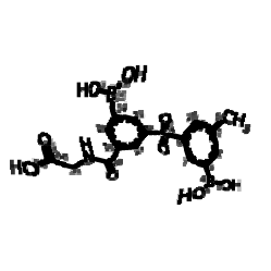 Cc1cc(B(O)O)cc(S(=O)(=O)c2cc(B(O)O)cc(C(=O)NCC(=O)O)c2)c1